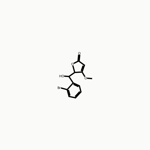 COC1=CC(=O)OC1C(O)c1ccccc1Br